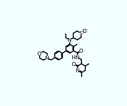 CCN(c1cc(-c2ccc(CN3CCOCC3)cc2)cc(C(=O)NCC2C(=O)N=C(C)CC2C)c1C)C1CC[S+]([O-])CC1